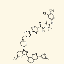 CC(=O)N1CCc2c(c(-c3cccc4cc(-c5cnn(C)c5)ncc34)nn2C2CCN(CC3CCN(c4ncc(C(=O)NC5C(C)(C)C(Oc6ccc(C#N)c(Cl)c6)C5(C)C)cn4)CC3)CC2)C1